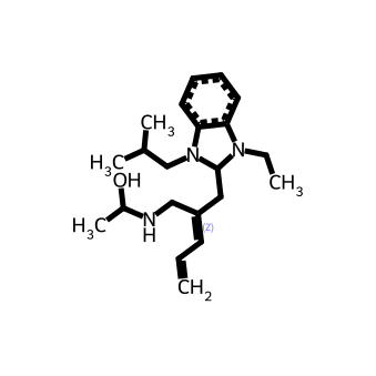 C=C/C=C(\CNC(C)O)CC1N(CC)c2ccccc2N1CC(C)C